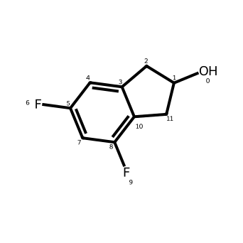 OC1Cc2cc(F)cc(F)c2C1